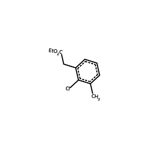 CCOC(=O)Cc1cccc(C)c1Cl